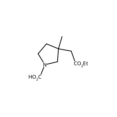 CCOC(=O)CC1(C)CCN(C(=O)O)C1